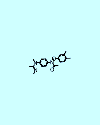 CN=C(C)N(C)c1ccc(N(Oc2ccc(C)c(C)c2)C(C)=O)cc1